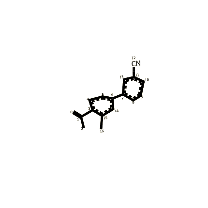 C=C(C)c1ccc(-c2cccc(C#N)c2)cc1C